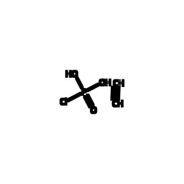 C#C.O=P(O)(O)Cl